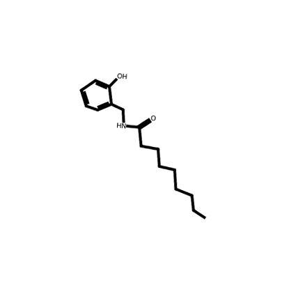 CCCCCCCCC(=O)NCc1ccccc1O